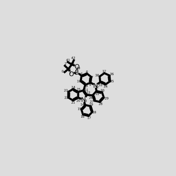 CC1(C)OB(c2ccc3c(c2)-c2c(n(-c4ccccc4)c4ccccc24)-c2ccccc2N3C2=CC=CCC2)OC1(C)C